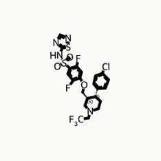 O=S(=O)(Nc1ncns1)c1cc(F)c(OC[C@@H]2CN(CC(F)(F)F)CC[C@H]2c2ccc(Cl)cc2)cc1F